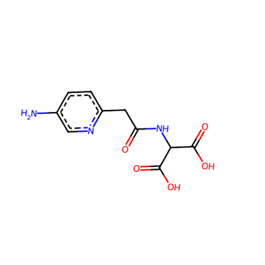 Nc1ccc(CC(=O)NC(C(=O)O)C(=O)O)nc1